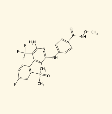 CONC(=O)c1ccc(Nc2nc(N)c(C(F)(F)F)c(-c3ccc(F)cc3P(C)(C)=O)n2)cc1